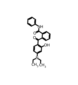 CCN(CC)c1ccc(C(=O)c2ccccc2C(=O)Nc2ccccc2)c(O)c1